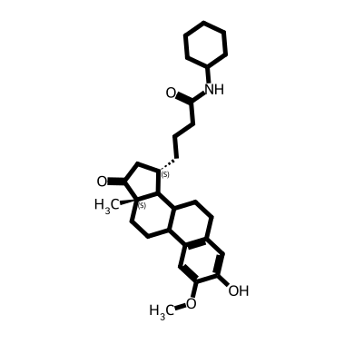 COc1cc2c(cc1O)CCC1C2CC[C@]2(C)C(=O)C[C@H](CCCC(=O)NC3CCCCC3)C12